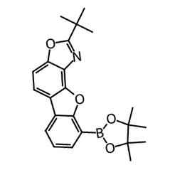 CC(C)(C)c1nc2c(ccc3c4cccc(B5OC(C)(C)C(C)(C)O5)c4oc32)o1